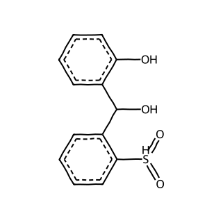 O=[SH](=O)c1ccccc1C(O)c1ccccc1O